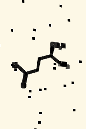 N[C@@H](CCC(=O)Cl)C(=O)O